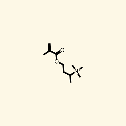 C=C(C)C(=O)OCC[C](C)[N+](C)(C)C